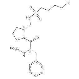 O=C(O)N[C@@H](Cc1ccccc1)C(=O)N1CCC[C@@H]1CNS(=O)(=O)CCCCBr